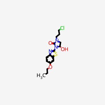 CCCOc1ccc2nc(N3C(=O)N(CCCCl)CC3O)sc2c1